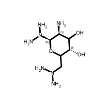 N[C@H]1C(O)[C@H](O)C(CN(N)N)O[C@H]1N(N)N